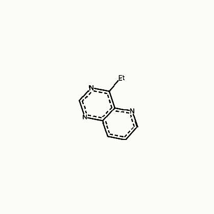 CCc1ncnc2cccnc12